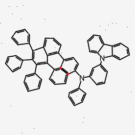 c1ccc(-c2c(-c3ccccc3)c(-c3ccccc3)c3c(-c4ccc(N(c5ccccc5)c5cccc(-n6c7ccccc7c7ccccc76)c5)cc4)cccc3c2-c2ccccc2)cc1